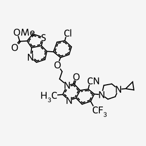 COC(=O)c1csc2c(-c3cc(Cl)ccc3OCCn3c(C)nc4cc(C(F)(F)F)c(N5CCN(C6CC6)CC5)c(C#N)c4c3=O)ccnc12